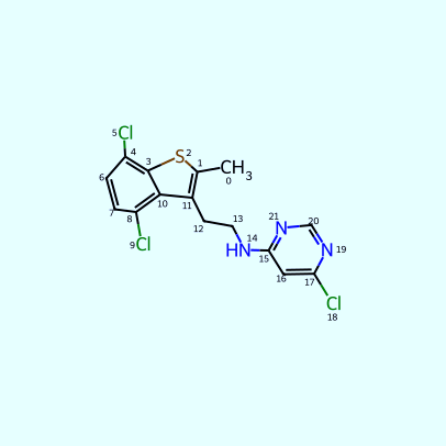 Cc1sc2c(Cl)ccc(Cl)c2c1CCNc1cc(Cl)ncn1